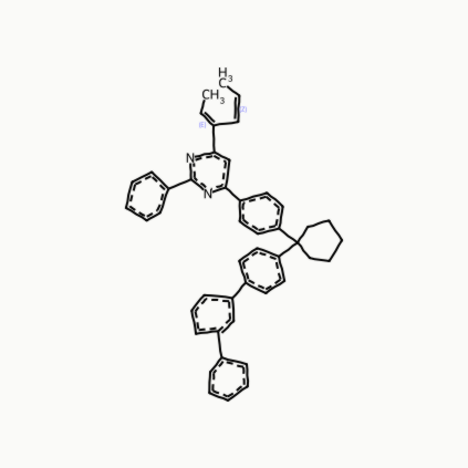 C/C=C\C(=C/C)c1cc(-c2ccc(C3(c4ccc(-c5cccc(-c6ccccc6)c5)cc4)CCCCC3)cc2)nc(-c2ccccc2)n1